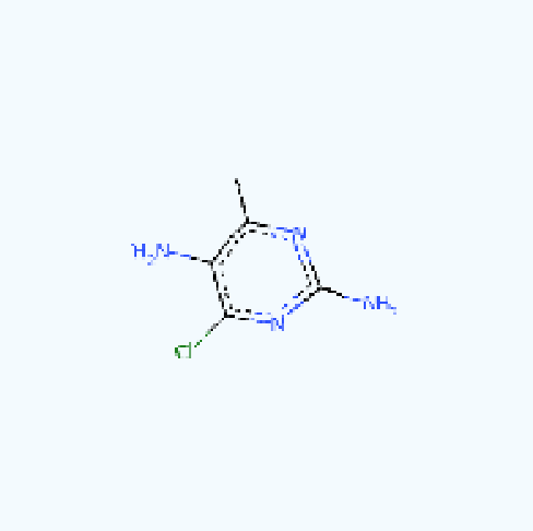 Cc1nc(N)nc(Cl)c1N